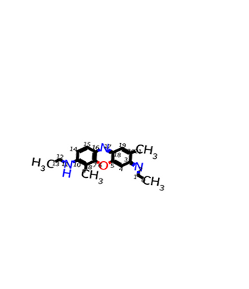 CCN=c1cc2oc3c(C)c(NCC)ccc3nc-2cc1C